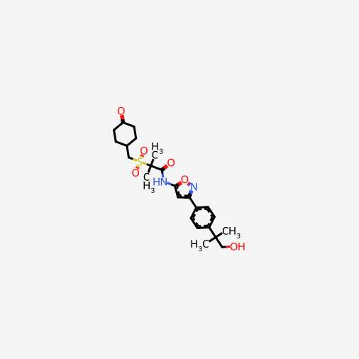 CC(C)(CO)c1ccc(-c2cc(NC(=O)C(C)(C)S(=O)(=O)CC3CCC(=O)CC3)on2)cc1